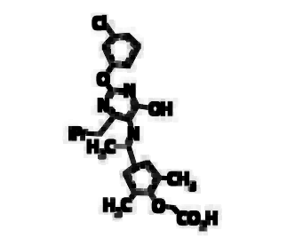 C/C(=N\c1c(O)nc(Oc2cccc(Cl)c2)nc1CC(C)C)c1cc(C)c(OCC(=O)O)c(C)c1